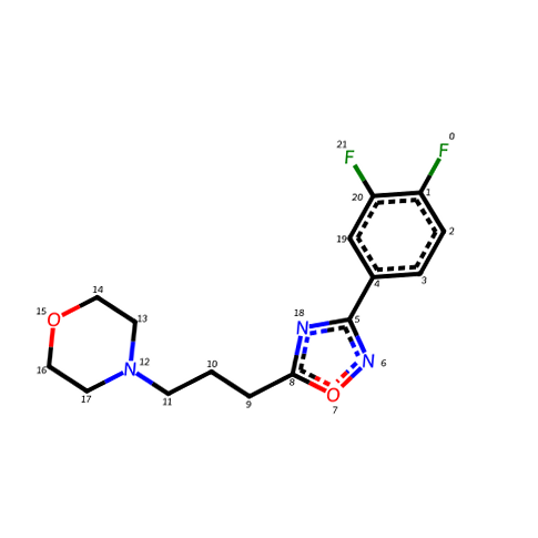 Fc1ccc(-c2noc(CCCN3CCOCC3)n2)cc1F